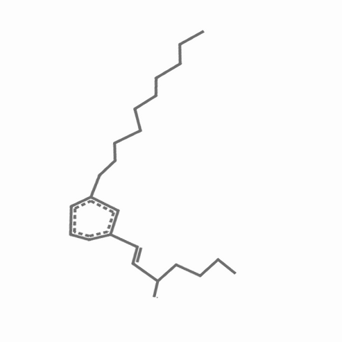 [CH2]C(C=Cc1cccc(CCCCCCCCCC)c1)CCCC